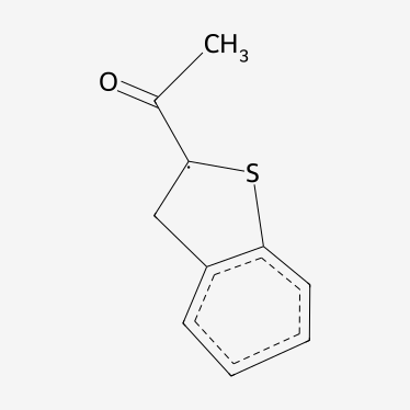 CC(=O)[C]1Cc2ccccc2S1